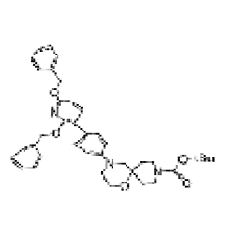 CC(C)(C)OC(=O)N1CCC2(CC1)CN(c1ccc(-c3ccc(OCc4ccccc4)nc3OCc3ccccc3)cc1)CCO2